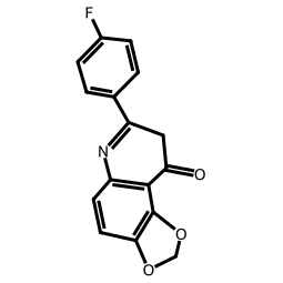 O=C1CC(c2ccc(F)cc2)=Nc2ccc3c(c21)OCO3